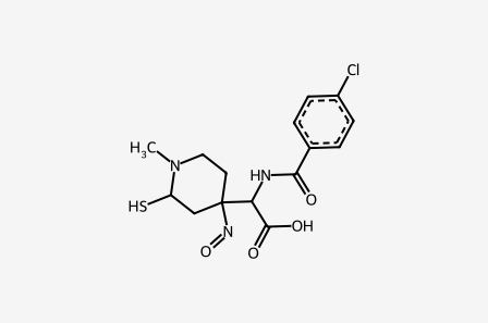 CN1CCC(N=O)(C(NC(=O)c2ccc(Cl)cc2)C(=O)O)CC1S